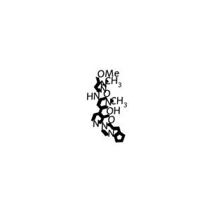 COCc1cc(Nc2cc(-c3ccnc(-n4ccn5c6c(cc5c4=O)CCC6)c3CO)cn(C)c2=O)nn1C